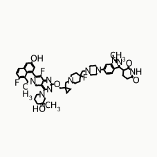 CCc1c(F)ccc2cc(O)cc(-c3ncc4c(N5CCC[C@@](C)(O)C5)nc(OCC5(CN6CCC(F)(CN7CCN(c8ccc9c(C%10CCC(=O)NC%10=O)nn(C)c9c8)CC7)CC6)CC5)nc4c3F)c12